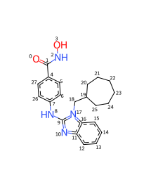 O=C(NO)c1ccc(Nc2nc3ccccc3n2CC2CCCCCC2)cc1